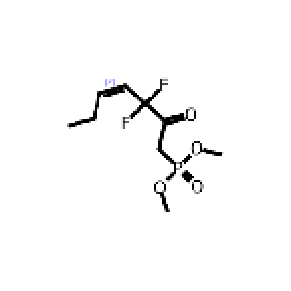 CC/C=C\C(F)(F)C(=O)CP(=O)(OC)OC